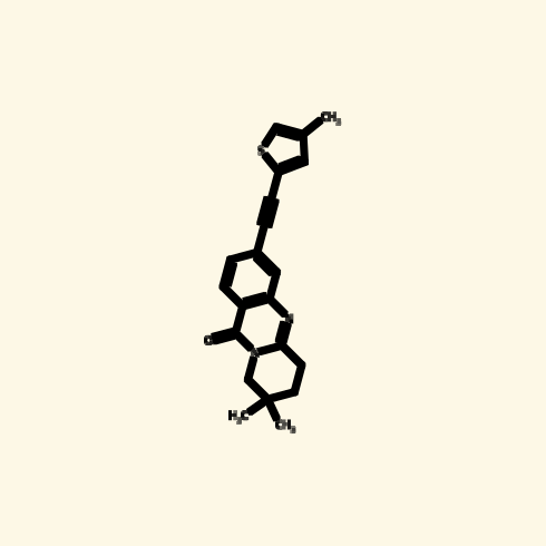 Cc1csc(C#Cc2ccc3c(=O)n4c(nc3c2)CCC(C)(C)C4)c1